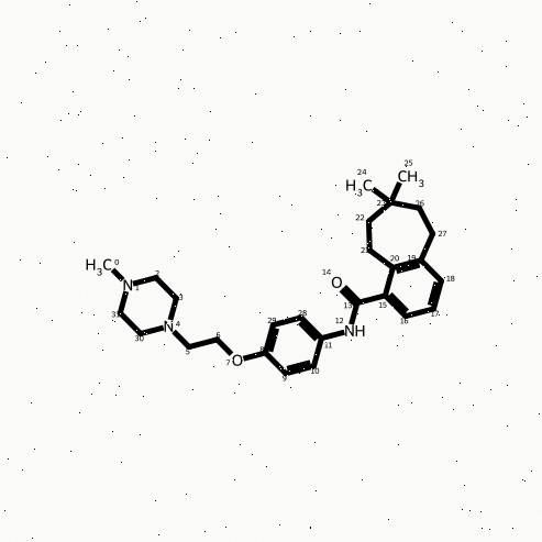 CN1CCN(CCOc2ccc(NC(=O)c3cccc4c3CCC(C)(C)CC4)cc2)CC1